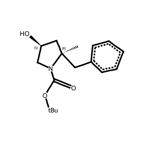 CC(C)(C)OC(=O)N1C[C@@H](O)C[C@@]1(C)Cc1ccccc1